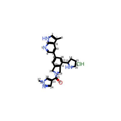 Cc1c[nH]c2ncc(-c3cc4c(c(C5CCCN5)c3)CN(C(=O)c3cnn(C)c3)C4)cc12.Cl